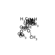 CCCCc1ccc(C(=O)N[C@@H](CNC(=O)c2ccc(S(C)(=O)=O)cc2)C(=O)N[C@@H](CC(C)C)B2O[C@@H]3C[C@@H]4C[C@@H](C4(C)C)[C@]3(C)O2)cc1